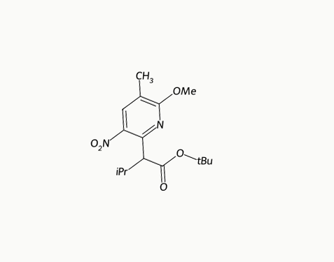 COc1nc(C(C(=O)OC(C)(C)C)C(C)C)c([N+](=O)[O-])cc1C